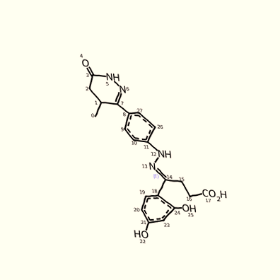 CC1CC(=O)NN=C1c1ccc(N/N=C(\CCC(=O)O)c2ccc(O)cc2O)cc1